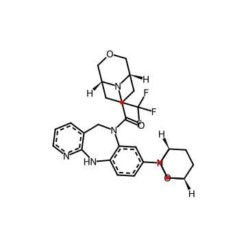 O=C(C1C[C@H]2COC[C@@H](C1)N2CC(F)(F)F)N1Cc2cccnc2Nc2ccc(N3C[C@H]4CC[C@@H]3CO4)cc21